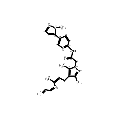 C=C/C=N\C(=C/Cc1c(C)nn(CC(=O)Nc2ccc(-c3ccnn3C)cn2)c1C)C(F)(F)F